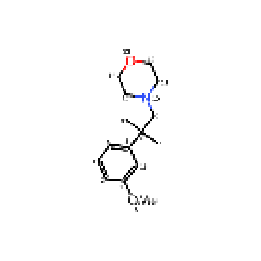 COc1cccc(C(C)(C)CN2CCOCC2)c1